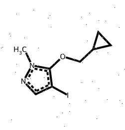 Cn1ncc(I)c1OCC1CC1